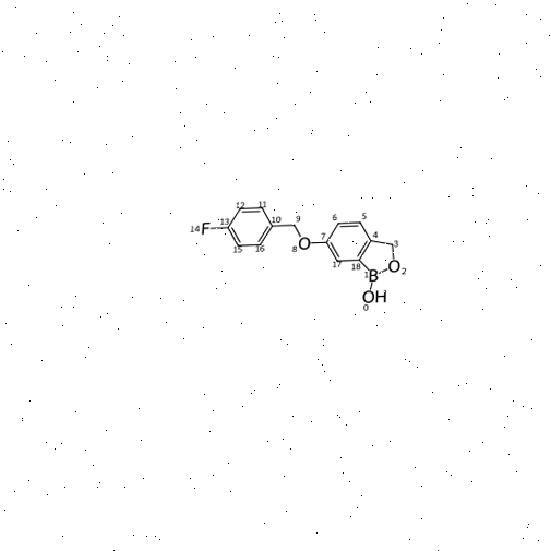 OB1OCc2ccc(OCc3ccc(F)cc3)cc21